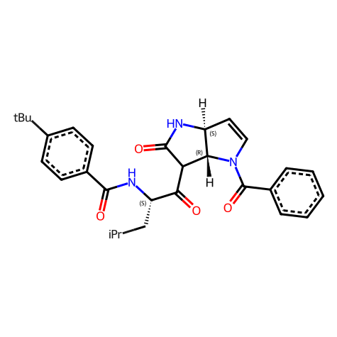 CC(C)C[C@H](NC(=O)c1ccc(C(C)(C)C)cc1)C(=O)C1C(=O)N[C@H]2C=CN(C(=O)c3ccccc3)[C@H]12